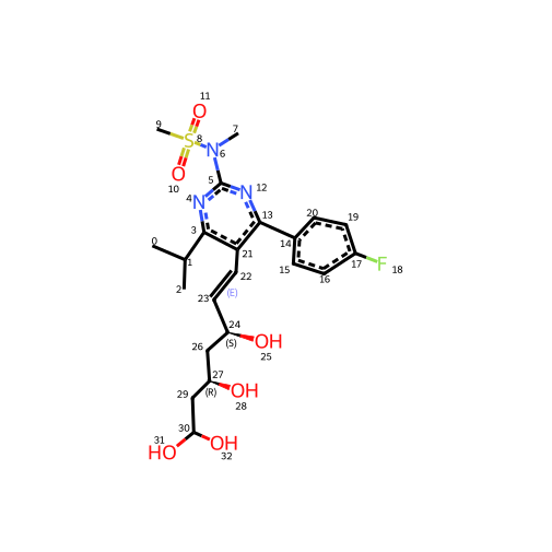 CC(C)c1nc(N(C)S(C)(=O)=O)nc(-c2ccc(F)cc2)c1/C=C/[C@@H](O)C[C@@H](O)CC(O)O